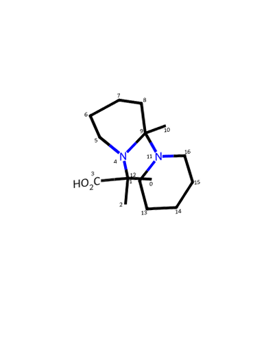 CC(C)(C(=O)O)N1CCCCC1(C)N1CCCCC1